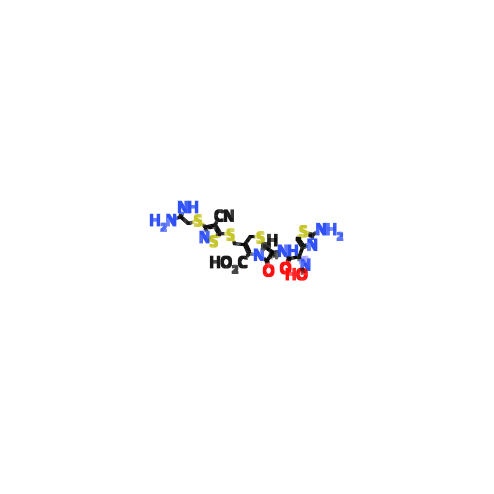 N#Cc1c(SCC(=N)N)nsc1SCC1=C(C(=O)O)N2C(=O)[C@@H](NC(=O)/C(=N\O)c3csc(N)n3)[C@@H]2SC1